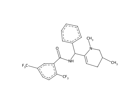 CC1CC=C(C(NC(=O)c2cc(C(F)(F)F)ccc2C(F)(F)F)c2ccccc2)N(C)C1